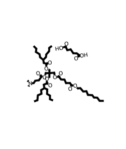 CCCCCCCCCCOC(=O)CCCCC(=O)OCC(COC(=O)CCCN(C)C)(COC(=O)CC(CCCCC)CCCCC)COC(=O)CC(CCCCC)CCCCC.O=C(O)CCCCC(=O)O